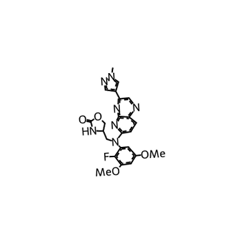 COc1cc(OC)c(F)c(N(CC2COC(=O)N2)c2ccc3ncc(-c4cnn(C)c4)nc3n2)c1